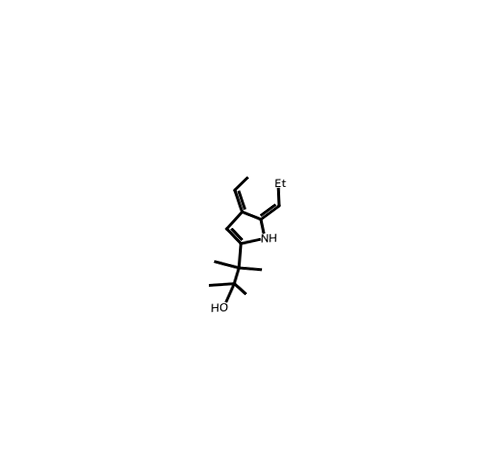 C/C=c1/cc(C(C)(C)C(C)(C)O)[nH]/c1=C/CC